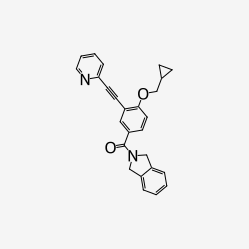 O=C(c1ccc(OCC2CC2)c(C#Cc2ccccn2)c1)N1Cc2ccccc2C1